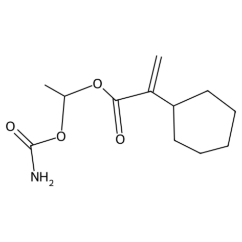 C=C(C(=O)OC(C)OC(N)=O)C1CCCCC1